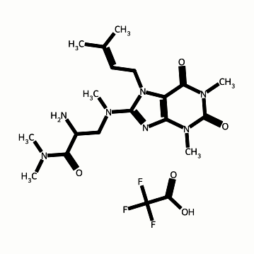 CC(C)=CCn1c(N(C)CC(N)C(=O)N(C)C)nc2c1c(=O)n(C)c(=O)n2C.O=C(O)C(F)(F)F